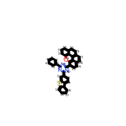 c1ccc(-c2nc(-c3ccc4c(c3)sc3ccccc34)nc(-c3ccc4ccc5ccc6cccc7c6c5c4c3O7)n2)cc1